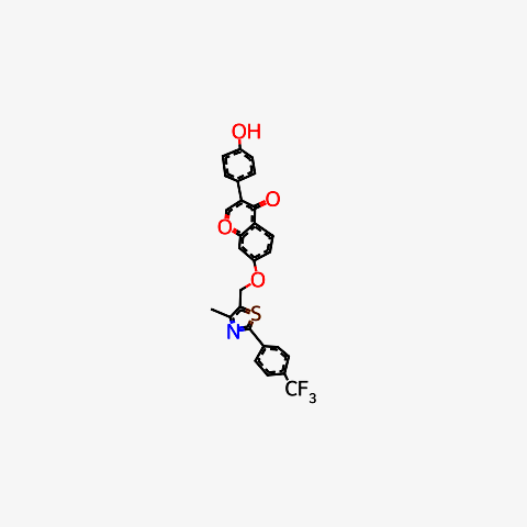 Cc1nc(-c2ccc(C(F)(F)F)cc2)sc1COc1ccc2c(=O)c(-c3ccc(O)cc3)coc2c1